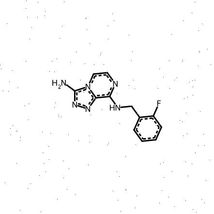 Nc1nnc2c(NCc3ccccc3F)nccn12